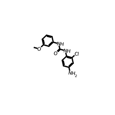 COc1cccc(NC(=O)Nc2ccc(N)cc2Cl)c1